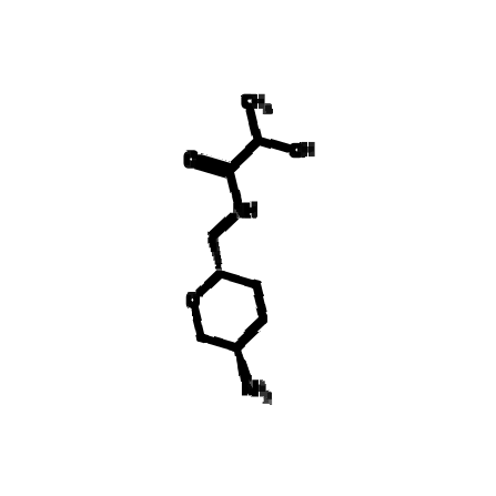 CC(O)C(=O)NC[C@@H]1CC[C@@H](N)CO1